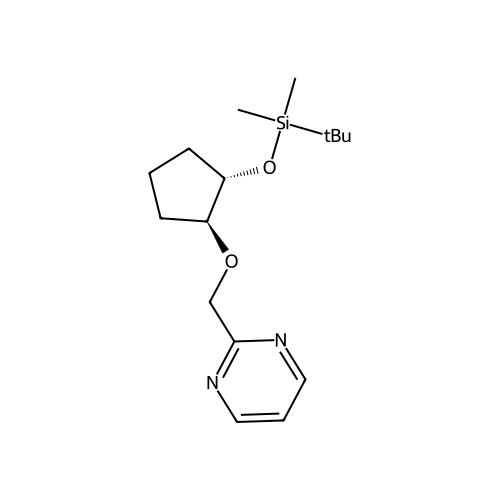 CC(C)(C)[Si](C)(C)O[C@H]1CCC[C@@H]1OCc1ncccn1